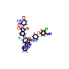 N#Cc1ccc(O[C@H]2CC[C@H](NC(=O)c3ccc(N4C5CC4CN(CC4CCN(c6cc7c(cc6F)C(=O)N(C6CCC(=O)NC6=O)C7=O)CC4)C5)nn3)CC2)cc1Cl